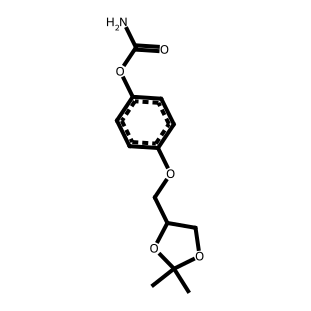 CC1(C)OCC(COc2ccc(OC(N)=O)cc2)O1